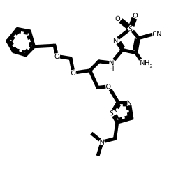 CN(C)Cc1cnc(OCC(CNC2=NS(=O)(=O)C(C#N)=C2N)OCOCc2ccccc2)s1